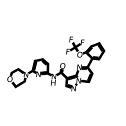 O=C(Nc1cccc(N2CCOCC2)n1)c1cnn2ccc(-c3ccccc3OC(F)(F)F)nc12